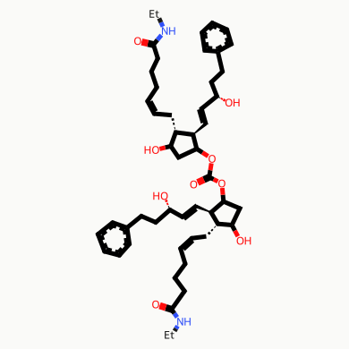 CCNC(=O)CCC/C=C\C[C@H]1C(O)CC(OC(=O)OC2CC(O)[C@H](C/C=C\CCCC(=O)NCC)[C@H]2/C=C/[C@@H](O)CCc2ccccc2)[C@@H]1/C=C/[C@@H](O)CCc1ccccc1